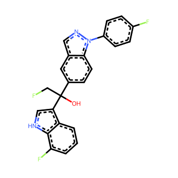 OC(CF)(c1ccc2c(cnn2-c2ccc(F)cc2)c1)c1c[nH]c2c(F)cccc12